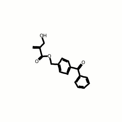 C=C(CO)C(=O)OCc1ccc(C(=O)c2ccccc2)cc1